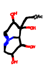 CC(=O)OCC1(O)C(O)CN2CC(O)C(O)C21